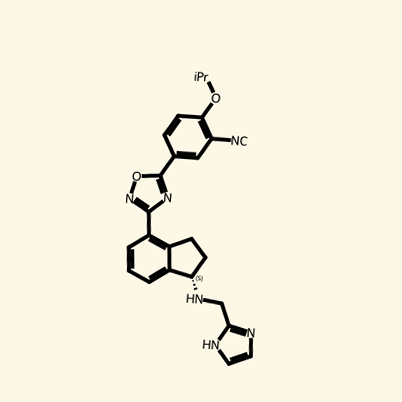 [C-]#[N+]c1cc(-c2nc(-c3cccc4c3CC[C@@H]4NCc3ncc[nH]3)no2)ccc1OC(C)C